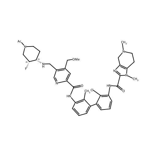 COCc1cc(C(=O)Nc2cccc(-c3cccc(NC(=O)c4nc5c(n4C)CCN(C)C5)c3Cl)c2C)ncc1CN[C@H]1CCN(C(C)=O)C[C@H]1F